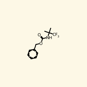 CC(C)(NC(=O)OCc1ccccc1)C(F)(F)F